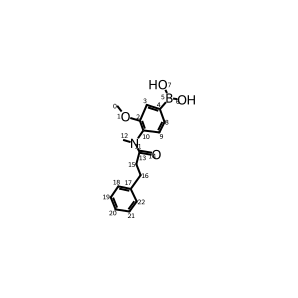 COc1cc(B(O)O)ccc1N(C)C(=O)CCc1ccccc1